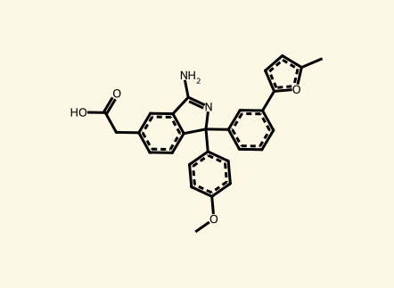 COc1ccc(C2(c3cccc(-c4ccc(C)o4)c3)N=C(N)c3cc(CC(=O)O)ccc32)cc1